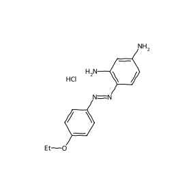 CCOc1ccc(/N=N/c2ccc(N)cc2N)cc1.Cl